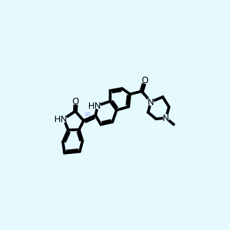 CN1CCN(C(=O)c2ccc3c(c2)C=C/C(=C2/C(=O)Nc4ccccc42)N3)CC1